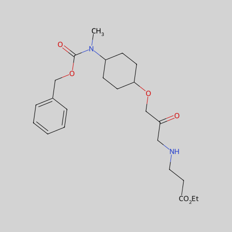 CCOC(=O)CCNCC(=O)COC1CCC(N(C)C(=O)OCc2ccccc2)CC1